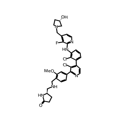 COc1cc(-c2nccc(-c3cccc(Nc4nccc(CN5CC[C@H](O)C5)c4F)c3Cl)c2Cl)ccc1CNC[C@H]1CCC(=O)N1